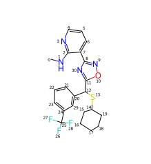 CNc1ncccc1-c1noc(C(SC2CCCCC2)c2cccc(C(F)(F)F)c2)n1